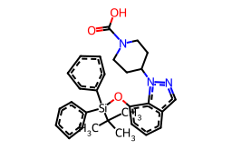 CC(C)(C)[Si](Oc1cccc2cnn(C3CCN(C(=O)O)CC3)c12)(c1ccccc1)c1ccccc1